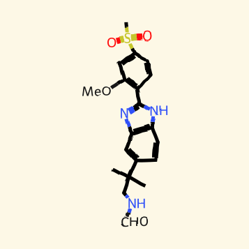 COc1cc(S(C)(=O)=O)ccc1-c1nc2cc(C(C)(C)CNC=O)ccc2[nH]1